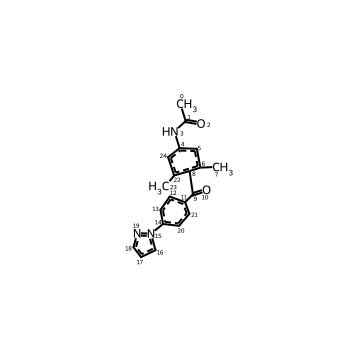 CC(=O)Nc1cc(C)c(C(=O)c2ccc(-n3cccn3)cc2)c(C)c1